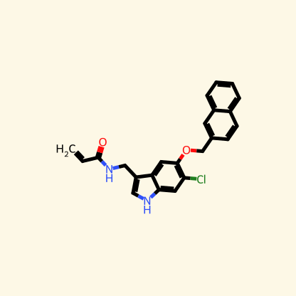 C=CC(=O)NCc1c[nH]c2cc(Cl)c(OCc3ccc4ccccc4c3)cc12